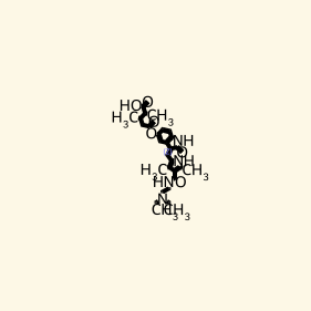 CCN(CC)CCNC(=O)c1c(C)[nH]c(/C=C2\C(=O)Nc3ccc(OC(=O)CC(C)C(C)C(=O)O)cc32)c1C